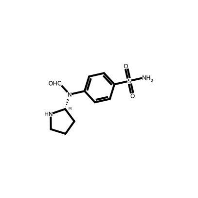 NS(=O)(=O)c1ccc(N(C=O)[C@@H]2CCCN2)cc1